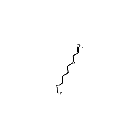 C=CCOCCCCOCCC